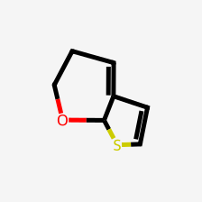 C1=CC2=CCCOC2S1